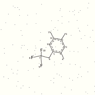 Cc1cc(C)c(CC(F)(F)F)cc1C